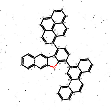 c1ccc2cc3c(cc2c1)oc1c(-c2cc4c5ccccc5ccc4c4ccccc24)ccc(-c2ccc4ccc5cccc6ccc2c4c56)c13